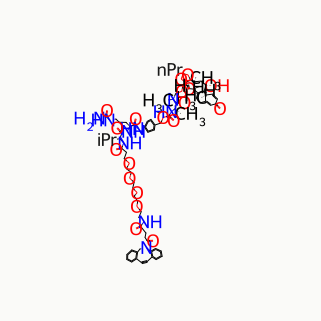 CCCC1O[C@@H]2C[C@H]3[C@@H]4CCC5=CC(=O)C=C[C@]5(C)[C@H]4[C@@H](O)C[C@]3(C)[C@]2(C(=O)COCN(C)C(=O)[C@H](C)NC(=O)OCc2ccc(NC(=O)[C@H](CCCNC(N)=O)NC(=O)[C@@H](NC(=O)CCOCCOCCOCCOCCNC(=O)CCC(=O)N3Cc4ccccc4C#Cc4ccccc43)C(C)C)cc2)O1